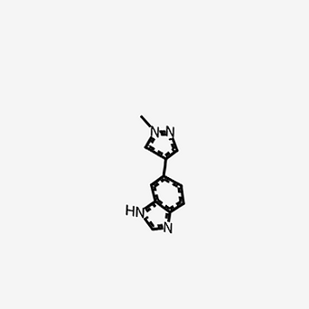 Cn1cc(-c2ccc3nc[nH]c3c2)cn1